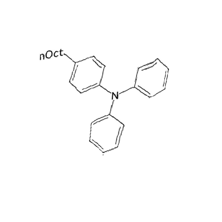 CCCCCCCCc1ccc(N(c2cc[c]cc2)c2ccccc2)cc1